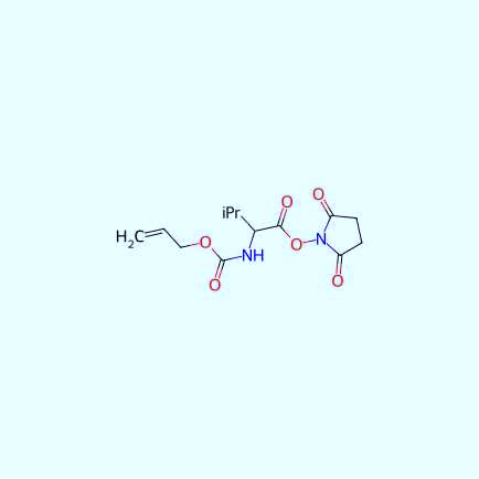 C=CCOC(=O)NC(C(=O)ON1C(=O)CCC1=O)C(C)C